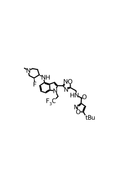 CN1CC[C@@H](Nc2cccc3c2cc(-c2noc(CNC(=O)c4cc(C(C)(C)C)on4)n2)n3CC(F)(F)F)[C@@H](F)C1